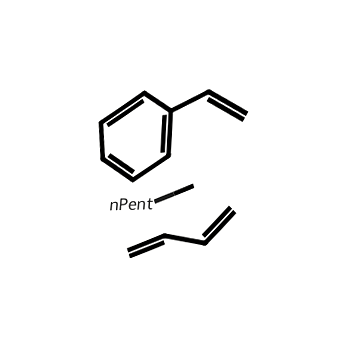 C=CC=C.C=Cc1ccccc1.CCCCCC